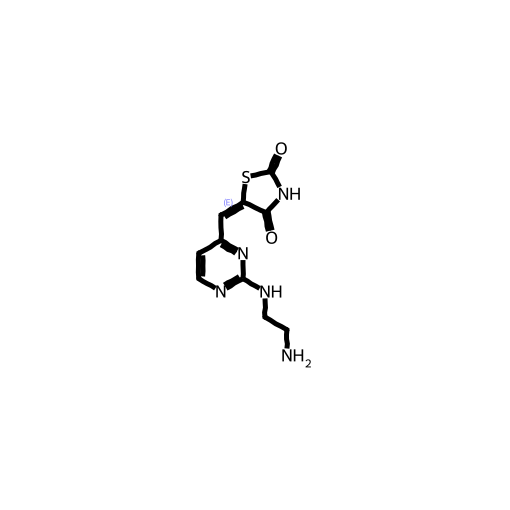 NCCNc1nccc(/C=C2/SC(=O)NC2=O)n1